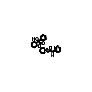 C[N+]1(CC(=O)Nc2cccnn2)CCCC(OC(=O)C(O)(c2ccccc2)C2CCCCC2)C1